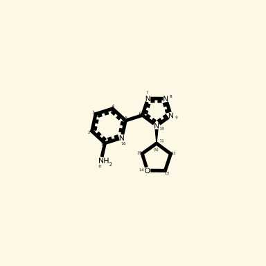 Nc1cccc(-c2nnnn2[C@H]2CCOC2)n1